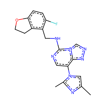 Cc1cn(-c2cnc(NCc3c(F)ccc4c3CCO4)n3cnnc23)c(C)n1